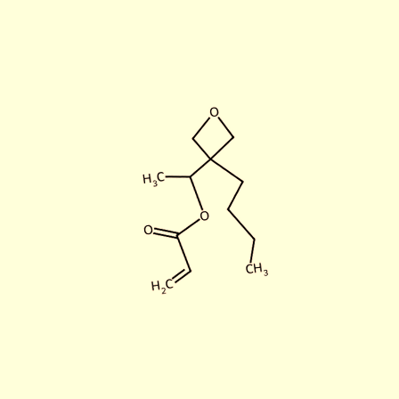 C=CC(=O)OC(C)C1(CCCC)COC1